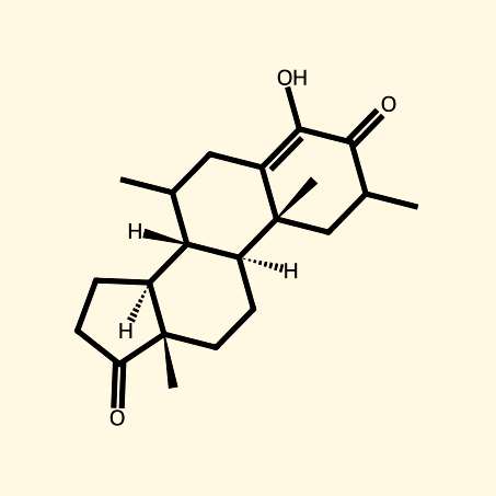 CC1C[C@@]2(C)C(=C(O)C1=O)CC(C)[C@@H]1[C@@H]2CC[C@]2(C)C(=O)CC[C@@H]12